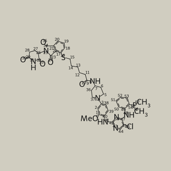 COc1cc(N2CCC(NC(=O)CCCCCSc3cccc4c3C(=O)N(C3CCC(=O)NC3=O)C4=O)CC2)ccc1Nc1ncc(Cl)c(Nc2ccccc2P(C)C)n1